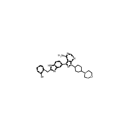 Nc1ncnc2c1c(-c1ccc3[nH]c(Cc4ccccc4Br)nc3c1)nn2C1CCC(N2CCOCC2)CC1